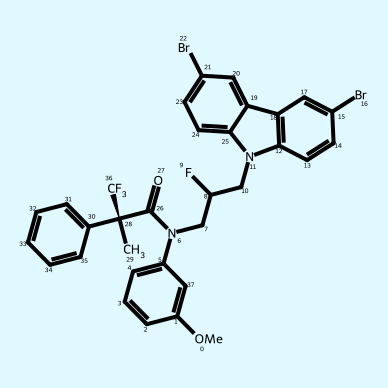 COc1cccc(N(CC(F)Cn2c3ccc(Br)cc3c3cc(Br)ccc32)C(=O)[C@](C)(c2ccccc2)C(F)(F)F)c1